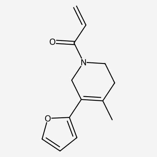 C=CC(=O)N1CCC(C)=C(c2ccco2)C1